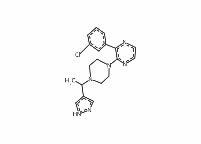 CC(c1cn[nH]c1)N1CCN(c2nccnc2-c2cccc(Cl)c2)CC1